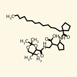 CCCCCCCCCCCCCC1(C(=O)NC2CCCC2C(CNC(=O)C2OC(C)(C)OCC2(C)C)C(=O)O)CCCC1